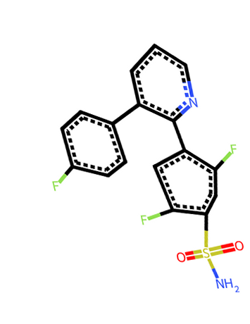 NS(=O)(=O)c1cc(F)c(-c2ncccc2-c2ccc(F)cc2)cc1F